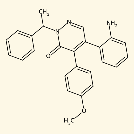 COc1ccc(-c2c(-c3ccccc3N)cnn(C(C)c3ccccc3)c2=O)cc1